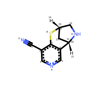 N#Cc1cncc2c1S[C@@H]1CN[C@H]2C1